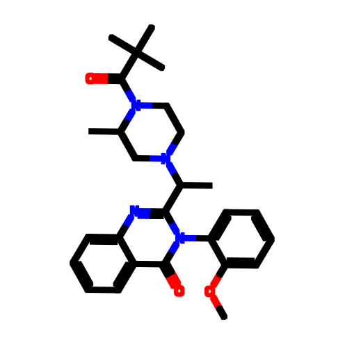 COc1ccccc1-n1c(C(C)N2CCN(C(=O)C(C)(C)C)C(C)C2)nc2ccccc2c1=O